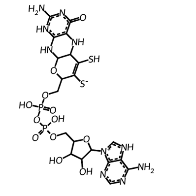 Nc1nc(=O)c2c([nH]1)NC1OC(COP(=O)(O)OP(=O)(O)OCC3OC([n+]4c[nH]c5c(N)ncnc54)C(O)C3O)C([S-])=C(S)C1N2